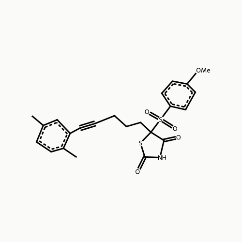 COc1ccc(S(=O)(=O)C2(CCCC#Cc3cc(C)ccc3C)SC(=O)NC2=O)cc1